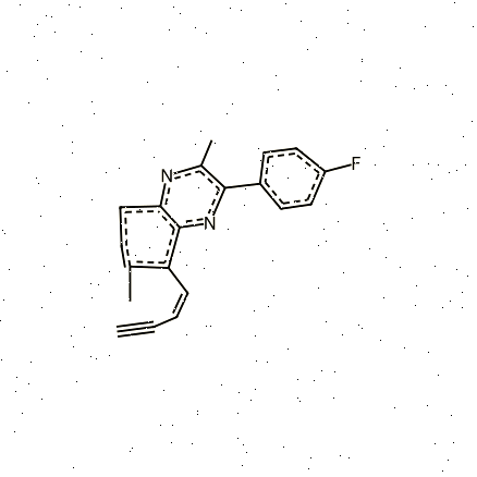 C#C/C=C\c1c(C)ccc2nc(C)c(-c3ccc(F)cc3)nc12